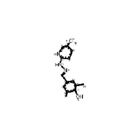 Cc1cc(C=NNc2ccc(C(F)(F)F)cn2)cc(C)c1O